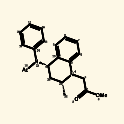 COC(=O)CN1c2ccccc2[C@@H](N(C(C)=O)c2ccccc2)C[C@H]1C